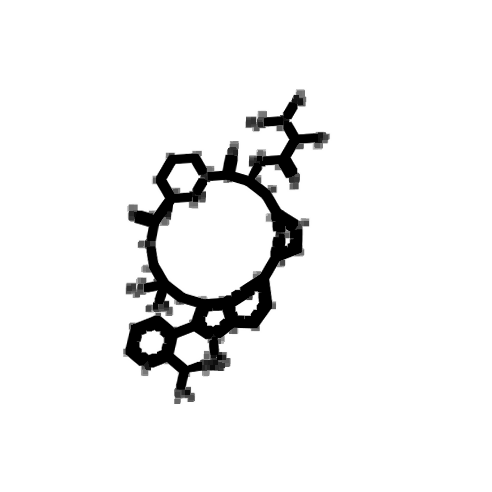 CO[C@@H](C)c1ncccc1-c1c2c3cc(ccc3n1C)-c1csc(n1)C[C@H](NC(=O)C(C(C)C)N(C)C(C)=O)C(=O)N1CCC[C@H](N1)C(=O)OCC(C)(C)C2